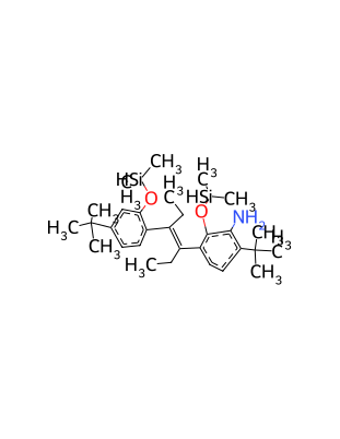 CC/C(=C(/CC)c1ccc(C(C)(C)C)c(N)c1O[SiH](C)C)c1ccc(C(C)(C)C)cc1O[SiH](C)C